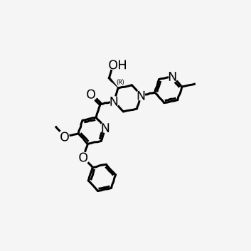 COc1cc(C(=O)N2CCN(c3ccc(C)nc3)C[C@@H]2CO)ncc1Oc1ccccc1